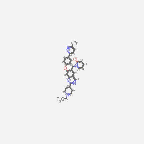 CC(C)c1ccc(-c2ccc(Oc3cc4nc(C5CCN(CC(F)(F)F)CC5)ncc4cc3Cn3ccccc3=O)cc2)nn1